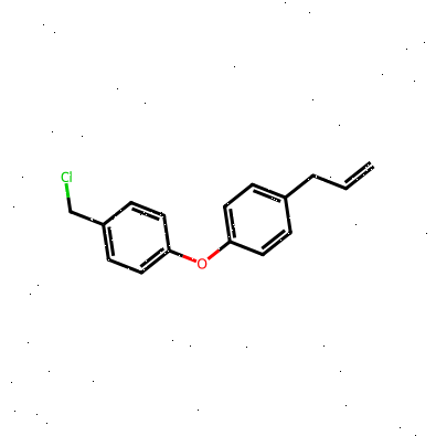 C=CCc1ccc(Oc2ccc(CCl)cc2)cc1